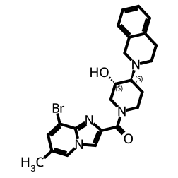 Cc1cc(Br)c2nc(C(=O)N3CC[C@H](N4CCc5ccccc5C4)[C@@H](O)C3)cn2c1